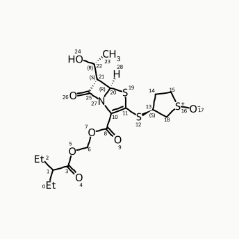 CCC(CC)C(=O)OCOC(=O)C1=C(S[C@H]2CC[S+]([O-])C2)S[C@@H]2[C@@H]([C@@H](C)O)C(=O)N12